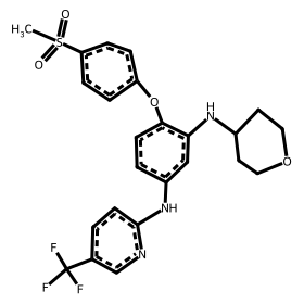 CS(=O)(=O)c1ccc(Oc2ccc(Nc3ccc(C(F)(F)F)cn3)cc2NC2CCOCC2)cc1